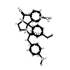 CCc1ccc(C23c4c[n+](O)ccc4C(=O)N2CCN3C(=O)Cc2ccc(OC)cc2)cc1